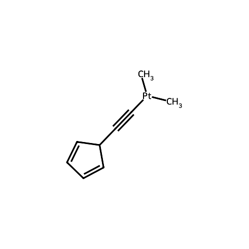 [CH3][Pt]([CH3])[C]#CC1C=CC=C1